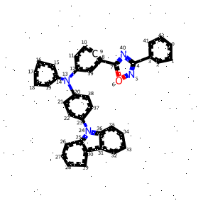 c1ccc(-c2noc(-c3cccc(N(c4ccccc4)c4ccc(-n5c6ccccc6c6ccccc65)cc4)c3)n2)cc1